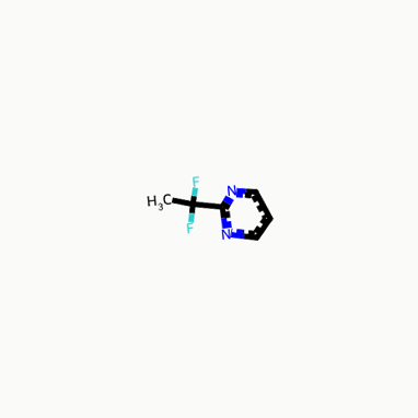 CC(F)(F)c1ncccn1